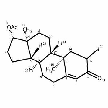 CC(=O)O[C@H]1CC[C@H]2[C@@H]3CCC4=CC(=O)C(I)C[C@]4(C)[C@H]3CC[C@]12C